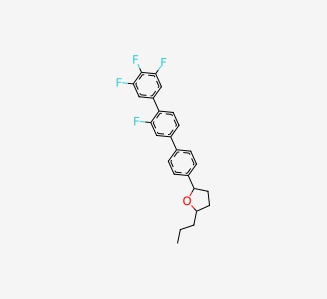 CCCC1CCC(c2ccc(-c3ccc(-c4cc(F)c(F)c(F)c4)c(F)c3)cc2)O1